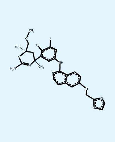 COC[C@@]1(C)C[C@@](C)(c2cc(Nc3nccc4cc(OCc5ncco5)cnc34)cc(F)c2F)N=C(N)S1